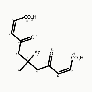 CC(=O)C(C)(CC(=O)/C=C\C(=O)O)CC(=O)/C=C\C(=O)O